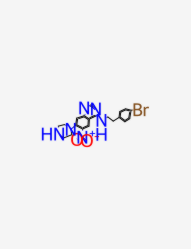 O=[N+]([O-])c1cc2c(NCCc3ccc(Br)cc3)ncnc2cc1N1CCNCC1